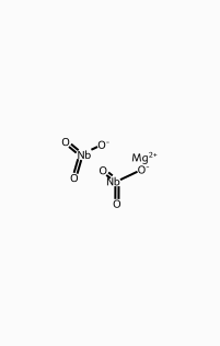 [Mg+2].[O]=[Nb](=[O])[O-].[O]=[Nb](=[O])[O-]